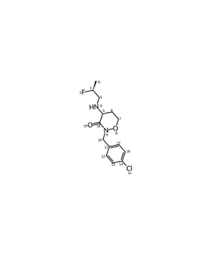 C[C@H](F)CNC1CCON(Cc2ccc(Cl)cc2)C1=O